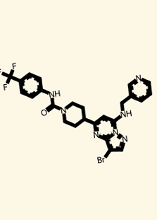 O=C(Nc1ccc(C(F)(F)F)cc1)N1CCC(c2cc(NCc3cccnc3)n3ncc(Br)c3n2)CC1